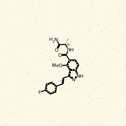 COc1c(C(=O)N[C@@H](C)C(N)=O)ccc2[nH]nc(/C=C/c3ccc(F)cc3)c12